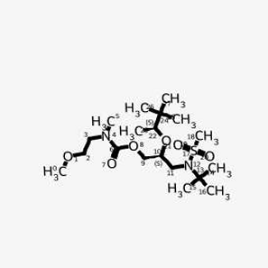 COCCN(C)C(=O)OC[C@H](CN(C(C)(C)C)S(C)(=O)=O)O[C@@H](C)C(C)(C)C